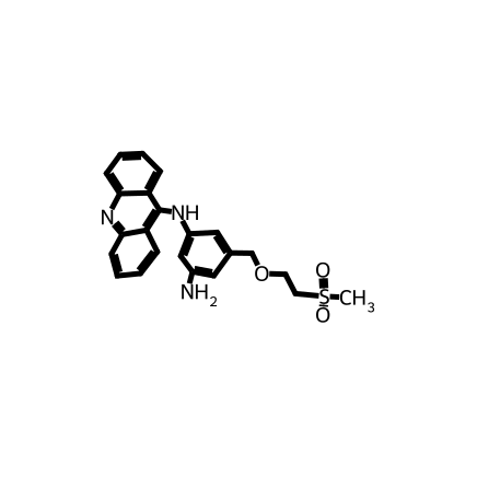 CS(=O)(=O)CCOCc1cc(N)cc(Nc2c3ccccc3nc3ccccc23)c1